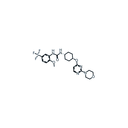 COc1ccc(S(F)(F)F)cc1NC(=O)N[C@H]1CC[C@H](Oc2ccnc(N3CCOCC3)n2)CC1